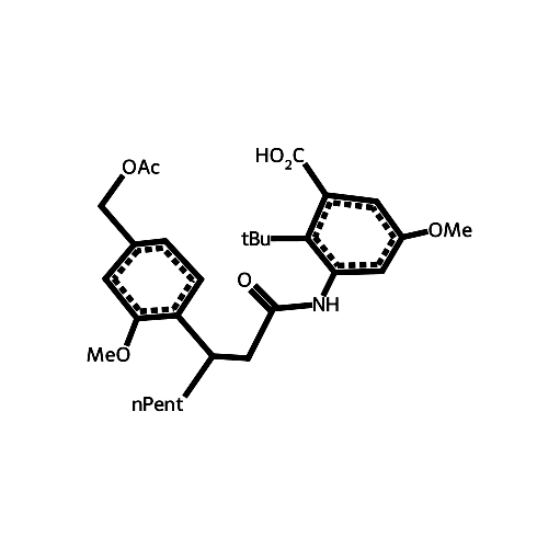 CCCCCC(CC(=O)Nc1cc(OC)cc(C(=O)O)c1C(C)(C)C)c1ccc(COC(C)=O)cc1OC